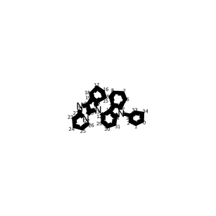 c1ccc(-n2c3ccccc3c3c(-n4c5ccccc5c5nc6ccccn6c54)cccc32)cc1